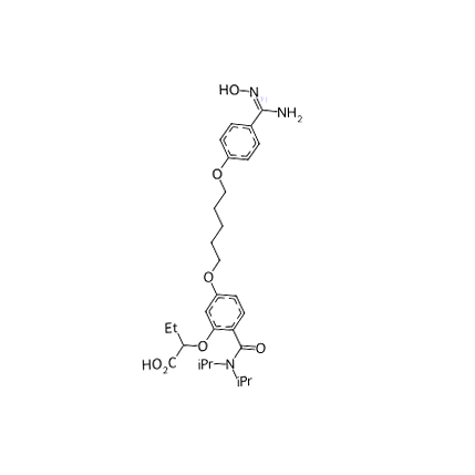 CCC(Oc1cc(OCCCCCOc2ccc(/C(N)=N\O)cc2)ccc1C(=O)N(C(C)C)C(C)C)C(=O)O